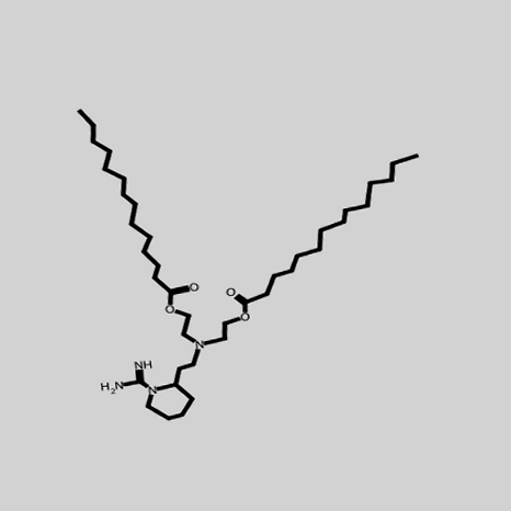 CCCCCCCCCCCCCC(=O)OCCN(CCOC(=O)CCCCCCCCCCCCC)CCC1CCCCN1C(=N)N